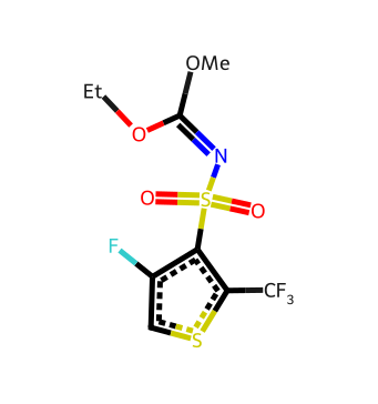 CCOC(=NS(=O)(=O)c1c(F)csc1C(F)(F)F)OC